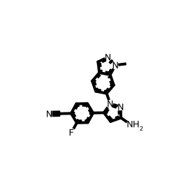 Cn1ncc2ccc(-n3nc(N)cc3-c3ccc(C#N)c(F)c3)cc21